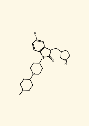 CC1CCC(N2CCC(N3C(=O)C(CC4CCNC4)c4cc(F)ccc43)CC2)CC1